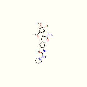 COc1cc(C(C)=O)c(C(Cc2ccc(NC(=O)NN3CCCCC3)cc2)C(N)=O)cc1OC